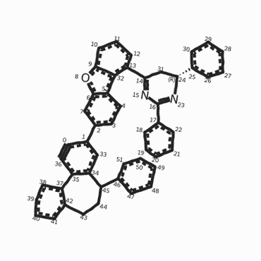 c1c(-c2ccc3c(c2)oc2cccc(C4=NC(c5ccccc5)=N[C@@H](c5ccccc5)C4)c23)cc2c(c#1)-c1ccccc1CCC2c1ccccc1